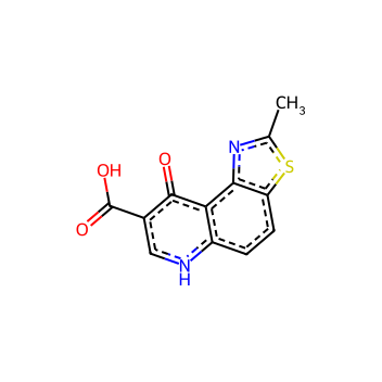 Cc1nc2c(ccc3[nH]cc(C(=O)O)c(=O)c32)s1